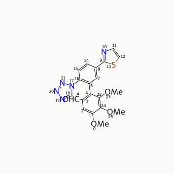 COc1cc(C=O)c(-c2cc(-c3nccs3)ccc2-n2cnnn2)c(OC)c1OC